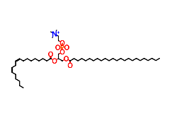 CCCCC/C=C\C/C=C\CCCCCCCC(=O)O[C@H](COC(=O)CCCCCCCCCCCCCCCCCCCCCCC)COP(=O)([O-])OCC[N+](C)(C)C